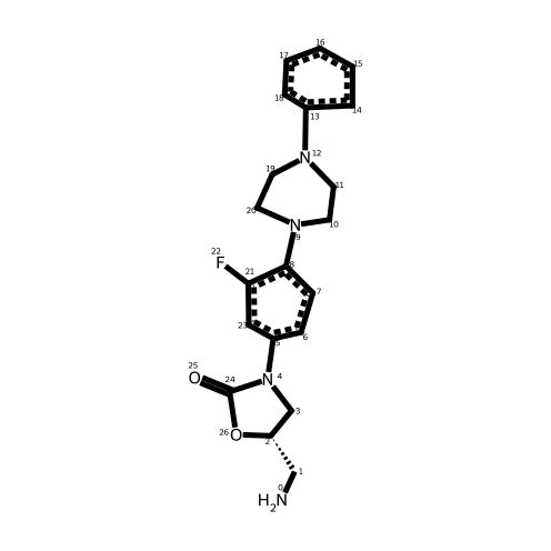 NC[C@H]1CN(c2ccc(N3CCN(c4ccccc4)CC3)c(F)c2)C(=O)O1